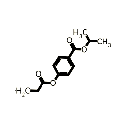 [CH2]CC(=O)Oc1ccc(C(=O)OC(C)C)cc1